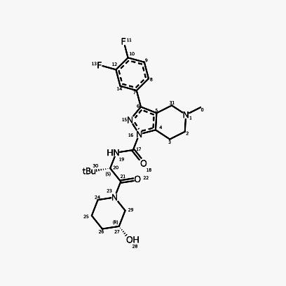 CN1CCc2c(c(-c3ccc(F)c(F)c3)nn2C(=O)N[C@H](C(=O)N2CCC[C@@H](O)C2)C(C)(C)C)C1